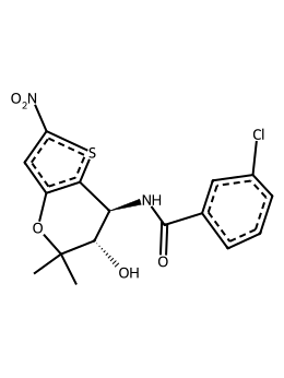 CC1(C)Oc2cc([N+](=O)[O-])sc2[C@@H](NC(=O)c2cccc(Cl)c2)[C@@H]1O